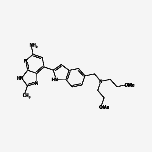 COCCN(CCOC)Cc1ccc2[nH]c(-c3cc(N)nc4[nH]c(C)nc34)cc2c1